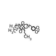 CCCCN1C(=O)[C@H](C(C)CC)NC(=O)C12CCN(Cc1ccc3c(c1)OCCO3)CC2